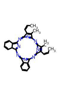 C/C=C\C1=C(C)C2=NC/1=N\C1=C3C=CC=CC3C(=N1)/N=C1N=C(/N=c3\[nH]/c(c(C)c3/C=C\C)=N\2)c2ccccc2\1